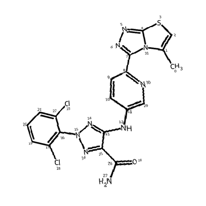 Cc1csc2nnc(-c3ccc(Nc4nn(-c5c(Cl)cccc5Cl)nc4C(N)=O)cn3)n12